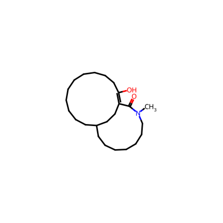 CN1CCCCCCCC2CCCCCCCCCC/C(O)=C(\CC2)C1=O